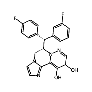 OC1=C2c3nccn3C[C@H]([C@H](c3ccc(F)cc3)c3cccc(F)c3)N2N=CC1O